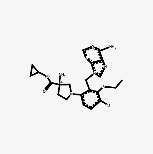 CCSc1c(Cl)ccc(N2CC[C@](N)(C(=O)NC3CC3)C2)c1Cn1cnc2c(N)ncnc21